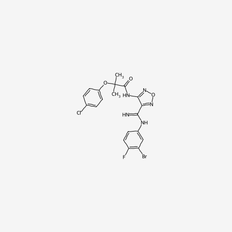 CC(C)(Oc1ccc(Cl)cc1)C(=O)Nc1nonc1C(=N)Nc1ccc(F)c(Br)c1